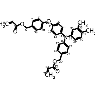 C=CC(=O)OCc1ccc(Oc2ccc(N(c3ccc(COC(=O)C=C)cc3)c3ccc(C)c(C)c3)cc2)cc1